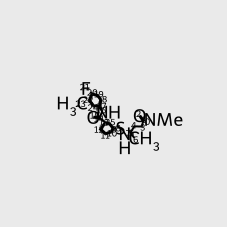 CNC(=O)CCC(C)NSc1cccc(C(=O)Nc2ccc(F)c(C)c2)c1